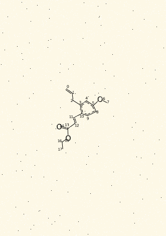 C=CCc1cc(OC)ccc1C=CC(=O)OCC